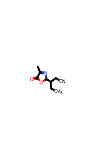 CC(=O)OCC(CC#N)C1N=C(C)C(=O)O1